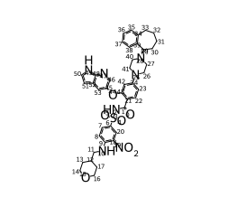 O=C(NS(=O)(=O)c1ccc(NCC2CCOCC2)c([N+](=O)[O-])c1)c1ccc(N2CCN([C@@H]3CCCCc4ccccc43)CC2)cc1Oc1cnc2[nH]ccc2c1